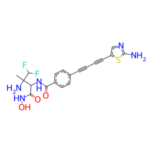 CC(N)(C(F)F)C(NC(=O)c1ccc(C#CC#Cc2cnc(N)s2)cc1)C(=O)NO